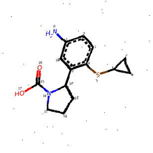 Nc1ccc(SC2CC2)c(C2CCCN2C(=O)O)c1